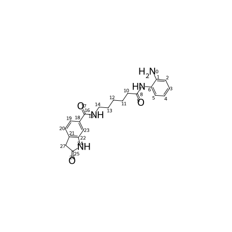 Nc1ccccc1NC(=O)CCCCCNC(=O)c1ccc2c(c1)NC(=O)C2